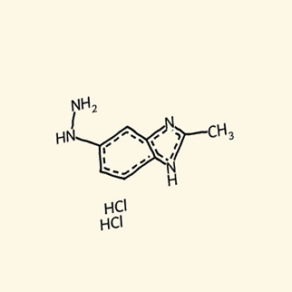 Cc1nc2cc(NN)ccc2[nH]1.Cl.Cl